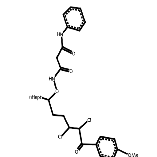 CCCCCCCC(CCC(Cl)C(Cl)C(=O)c1ccc(OC)cc1)ONC(=O)CC(=O)Nc1ccccc1